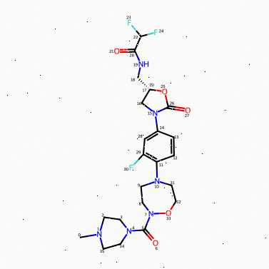 CN1CCN(C(=O)N2CCN(c3ccc(N4C[C@H](CNC(=O)C(F)F)OC4=O)cc3F)CCO2)CC1